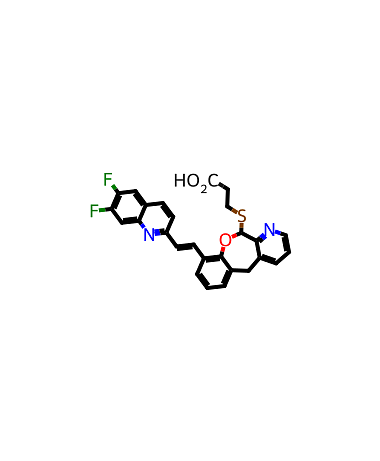 O=C(O)CCSC1Oc2c(C=Cc3ccc4cc(F)c(F)cc4n3)cccc2Cc2cccnc21